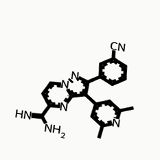 Cc1cc(-c2c(-c3cccc(C#N)c3)nn3ccc(C(=N)N)nc23)cc(C)n1